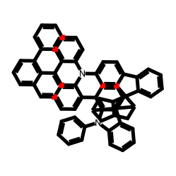 c1ccc(-c2cccc3cccc(-c4ccccc4N(c4ccc5c(c4)C4(c6ccccc6-5)C5CC6CC5CC64)c4ccccc4-c4cccc5c6ccccc6n(-c6ccccc6)c45)c23)cc1